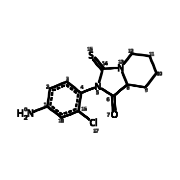 Nc1ccc(N2C(=O)C3CCCCN3C2=S)c(Cl)c1